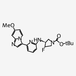 COc1ccn2c(-c3cccc(N[C@H]4CN(C(=O)OC(C)(C)C)C[C@@H]4F)n3)cnc2c1